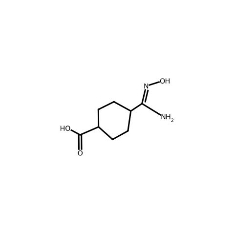 NC(=NO)C1CCC(C(=O)O)CC1